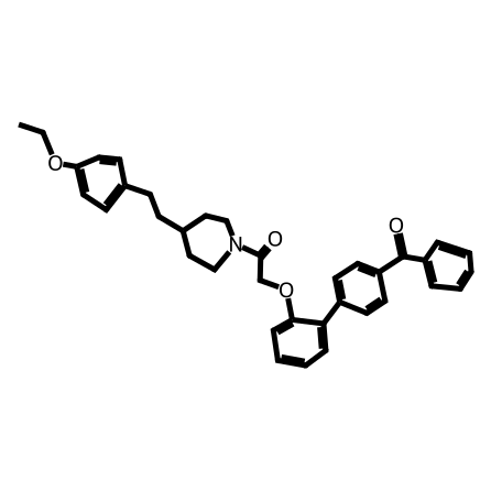 CCOc1ccc(CCC2CCN(C(=O)COc3ccccc3-c3ccc(C(=O)c4ccccc4)cc3)CC2)cc1